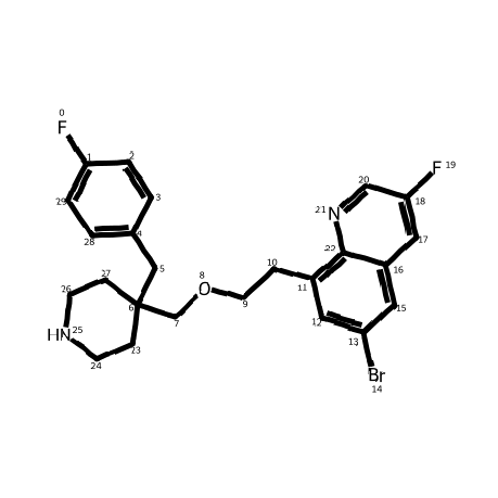 Fc1ccc(CC2(COCCc3cc(Br)cc4cc(F)cnc34)CCNCC2)cc1